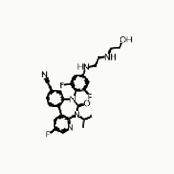 CC(C)N1C(=O)N(c2c(F)cc(NCCNCCO)cc2F)c2cc(C#N)ccc2-c2cc(F)cnc21